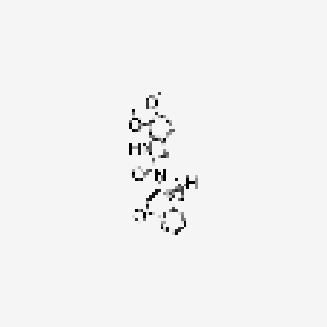 COc1ccc2cc(C(=O)N3C[C@H]4C[C@@]45C3=CC(=O)c3ccccc35)[nH]c2c1OC